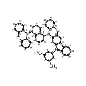 Cc1cc(C)cc(-n2c3ccccc3c3cc4c(cc32)N(c2cccc3c(N5c6ccccc6Oc6ccccc65)cccc23)c2ccccc2O4)c1